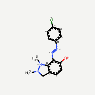 CN1Cc2ccc(O)c(N=Nc3ccc(Cl)cc3)c2N1C